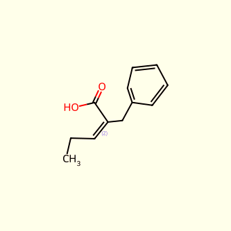 CC/C=C(/Cc1ccccc1)C(=O)O